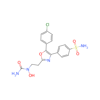 NC(=O)N(O)CCc1nc(-c2ccc(S(N)(=O)=O)cc2)c(-c2ccc(Cl)cc2)o1